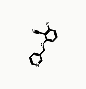 N#Cc1c(F)cccc1OCc1cccnc1